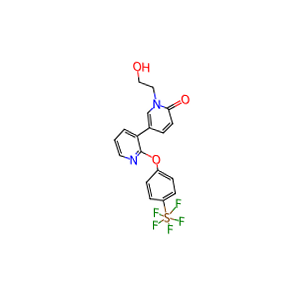 O=c1ccc(-c2cccnc2Oc2ccc(S(F)(F)(F)(F)F)cc2)cn1CCO